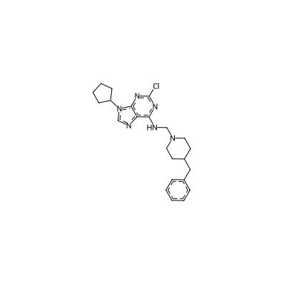 Clc1nc(NCN2CCC(Cc3ccccc3)CC2)c2ncn(C3CCCC3)c2n1